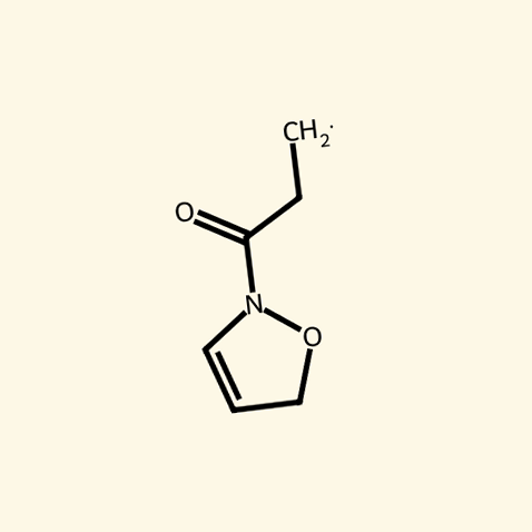 [CH2]CC(=O)N1C=CCO1